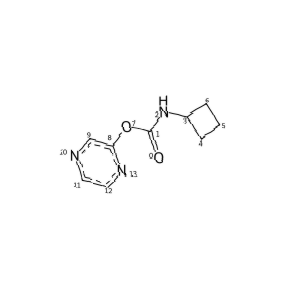 O=C(NC1CCC1)Oc1cnccn1